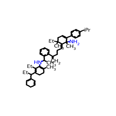 C=C(CC/C=C1\C(C)(CC)CC=C(c2ccc(C(C)C)cc2)C1(C)N)c1ccccc1C(C)NC1=C(C)CCC(C(CC)C2=CCCC=C2)=C1CC